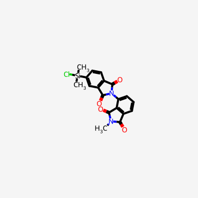 CN1C(=O)c2cccc(N3C(=O)c4ccc([Si](C)(C)Cl)cc4C3=O)c2C1=O